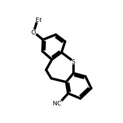 CCOc1ccc2c(c1)CCc1c(C#N)cccc1S2